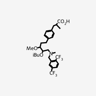 COC(CCc1ccc(CC(C)C(=O)O)cc1)C(CN(C)Cc1cc(C(F)(F)F)ccc1C(F)(F)F)OCC(C)C